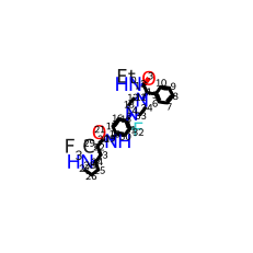 CCNC(=O)C(c1ccccc1)N1CCN(c2ccc(NC(=O)C(CC3CCCN3)C(F)(F)F)cc2F)CC1